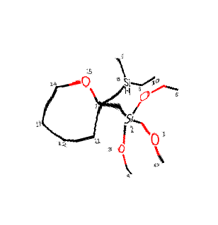 CO[Si](OC)(OC)C1([SiH](C)C)CCCCO1